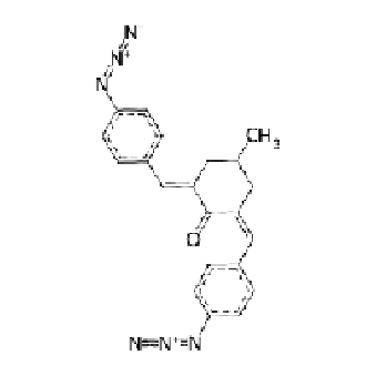 CC1CC(=Cc2ccc(N=[N+]=[N-])cc2)C(=O)/C(=C/c2ccc(N=[N+]=[N-])cc2)C1